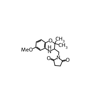 COc1ccc2c(c1)NC(CN1C(=O)CCC1=O)C(C)(C)O2